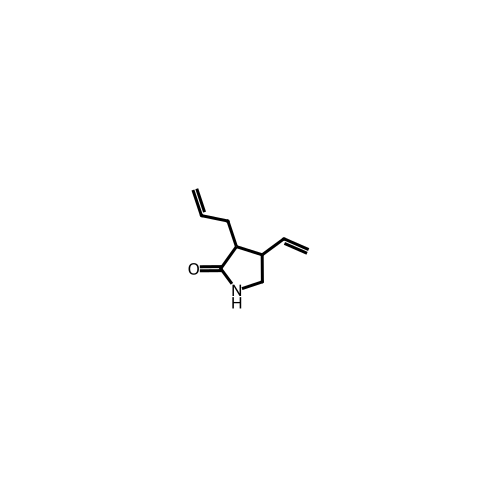 C=CCC1C(=O)NCC1C=C